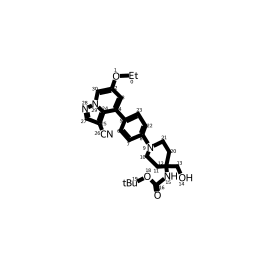 CCOc1cc(-c2ccc(N3CCC(CO)(NC(=O)OC(C)(C)C)CC3)cc2)c2c(C#N)cnn2c1